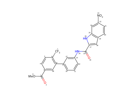 COC(=O)c1ccc(C(F)(F)F)c(-c2cccc(NC(=O)c3cc4ccc([N+](=O)[O-])cc4[nH]3)c2)c1